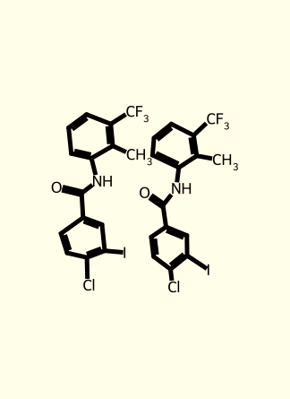 Cc1c(NC(=O)c2ccc(Cl)c(I)c2)cccc1C(F)(F)F.Cc1c(NC(=O)c2ccc(Cl)c(I)c2)cccc1C(F)(F)F